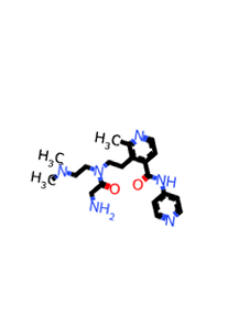 Cc1nccc(C(=O)Nc2ccncc2)c1CCN(CCN(C)C)C(=O)CN